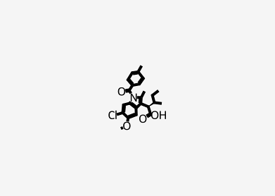 CCC(C)[C@@H](C(=O)O)c1c(C)n(C(=O)c2ccc(C)cc2)c2cc(Cl)c(OC)cc12